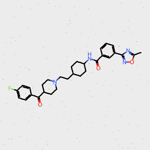 Cc1nc(-c2cccc(C(=O)NC3CCC(CCN4CCC(C(=O)c5ccc(F)cc5)CC4)CC3)c2)no1